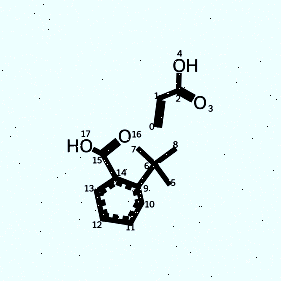 C=CC(=O)O.CC(C)(C)c1ccccc1C(=O)O